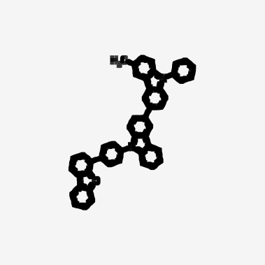 Cc1ccc2c(c1)c1cc(-c3ccc4c(c3)c3ccccc3n4-c3ccc(-c4cccc5c4oc4ccccc45)cc3)ccc1n2-c1ccccc1